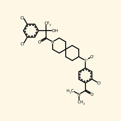 CN(C)C(=O)c1ccc([S+]([O-])C2CCC3(CC2)CCN(C(=O)C(O)(c2cc(Cl)cc(Cl)c2)C(F)(F)F)CC3)cc1Cl